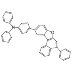 c1ccc(-c2cc3oc4ccc(-c5ccc(N(c6ccccc6)c6ccccc6)cc5)cc4c3c3ccccc23)cc1